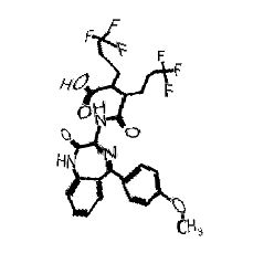 COc1ccc(C2=NC(NC(=O)C(CCC(F)(F)F)C(CCC(F)(F)F)C(=O)O)C(=O)Nc3ccccc32)cc1